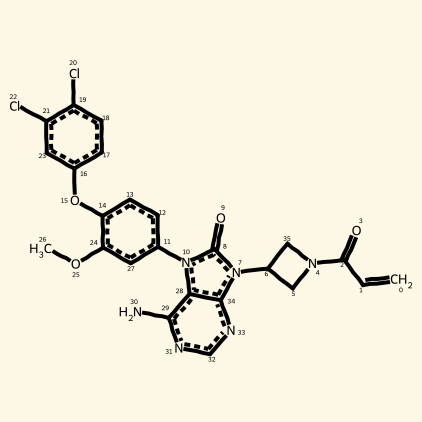 C=CC(=O)N1CC(n2c(=O)n(-c3ccc(Oc4ccc(Cl)c(Cl)c4)c(OC)c3)c3c(N)ncnc32)C1